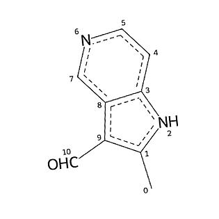 Cc1[nH]c2ccncc2c1C=O